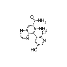 NC(=O)c1cc2nccnc2c(-c2cc(O)cnc2Cl)c1N